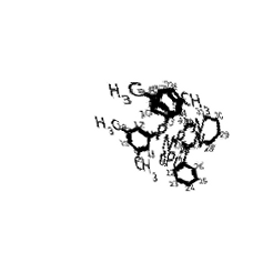 CCCN(P(c1cc(C)cc(C)c1)c1cc(C)cc(C)c1)P1[C@H](c2ccccc2)N2CCCCN2[C@H]1c1ccccc1